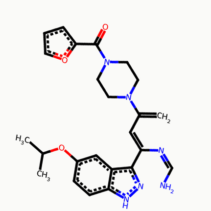 C=C(/C=C(\N=C/N)c1n[nH]c2ccc(OC(C)C)cc12)N1CCN(C(=O)c2ccco2)CC1